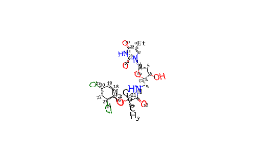 CCc1cn([C@@H]2CC(O)[C@H](CNC(=O)C(C)(C)Oc3ccc(Cl)cc3Cl)O2)c(=O)[nH]c1=O